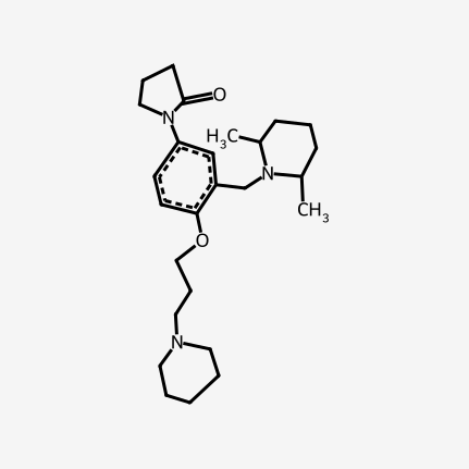 CC1CCCC(C)N1Cc1cc(N2CCCC2=O)ccc1OCCCN1CCCCC1